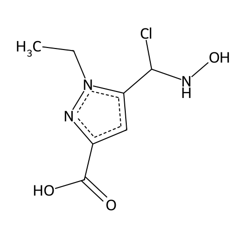 CCn1nc(C(=O)O)cc1C(Cl)NO